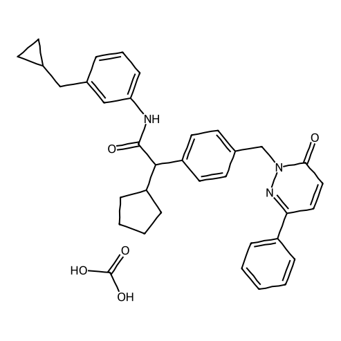 O=C(Nc1cccc(CC2CC2)c1)C(c1ccc(Cn2nc(-c3ccccc3)ccc2=O)cc1)C1CCCC1.O=C(O)O